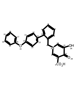 O=C(O)c1cn(Cc2ccccc2-c2ccc(Oc3ccccc3)cc2)cc(O)c1=O